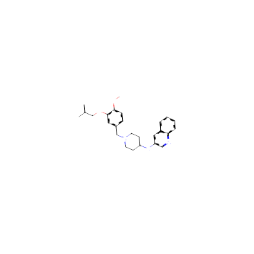 COc1ccc(CN2CCC(Nc3cnc4ccccc4c3)CC2)cc1OCC(C)C